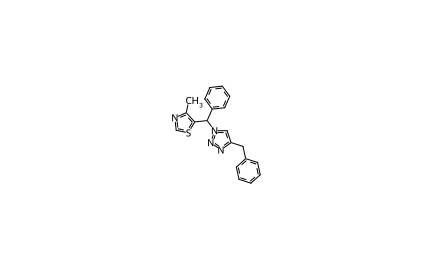 Cc1ncsc1C(c1ccccc1)n1cc(Cc2ccccc2)nn1